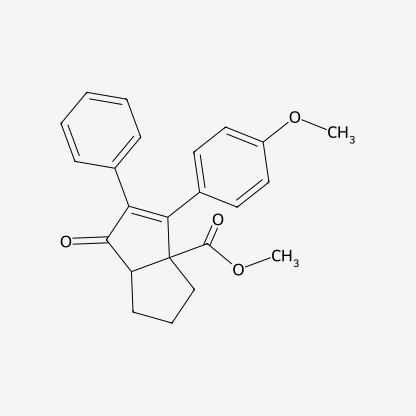 COC(=O)C12CCCC1C(=O)C(c1ccccc1)=C2c1ccc(OC)cc1